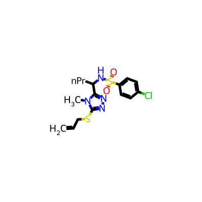 C=CCSc1nnc(C(CCC)NS(=O)(=O)c2ccc(Cl)cc2)n1C